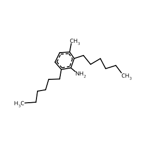 CCCCCCc1ccc(C)c(CCCCCC)c1N